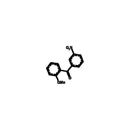 COc1ccccc1C(=O)c1cccc([N+](=O)[O-])c1